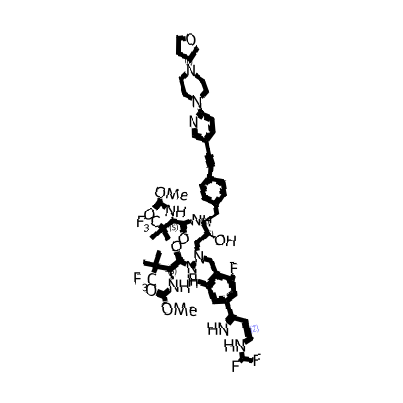 COC(=O)N[C@H](C(=O)N[C@@H](Cc1ccc(C#Cc2ccc(N3CCN([C@@H]4CCOC4)CC3)nc2)cc1)[C@@H](O)CN(Cc1c(F)cc(C(=N)/C=C\NC(F)F)cc1F)NC(=O)[C@@H](NC(=O)OC)C(C)(C)C(F)(F)F)C(C)(C)C(F)(F)F